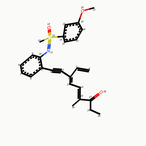 C=C/C(C#Cc1ccccc1N=S(C)(=O)c1cccc(OC)c1)=C\C=C(/C)C(=O)CC